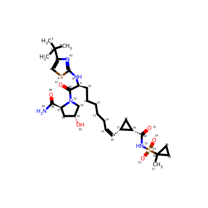 CC(C)(C)c1csc(N[C@@H](CCCCC/C=C\[C@@H]2C[C@@H]2C(=O)NS(=O)(=O)C2(C)CC2)C(=O)N2C[C@H](O)C[C@H]2C(N)=O)n1